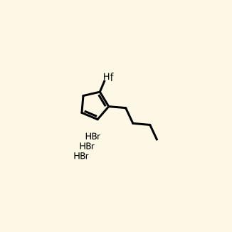 Br.Br.Br.CCCCC1=[C]([Hf])CC=C1